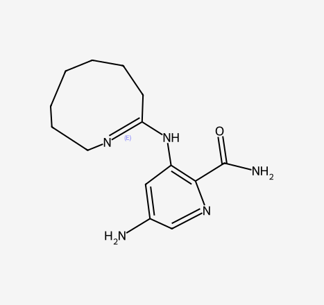 NC(=O)c1ncc(N)cc1N/C1=N/CCCCCCC1